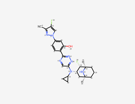 N#Cc1nn(-c2ccc(-c3ncc(N(C4CC4)[C@H]4C[C@@H]5CCC[C@@H](N5)[C@H]4F)nn3)c(O)c2)cc1F